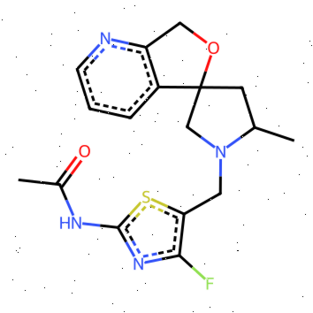 CC(=O)Nc1nc(F)c(CN2CC3(CC2C)OCc2ncccc23)s1